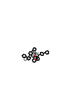 c1ccc(-c2ccc(-c3nc(-n4c5ccccc5c5ccc6c7c8c(ccc7n(-c7cccc9ccccc79)c6c54)oc4ccccc48)nc4ccccc34)cc2)cc1